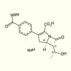 CNC(=O)c1ccc(C2=C(C(=O)O)N3C(=O)[C@H]([C@@H](C)O)[C@H]3C2)cc1.[NaH]